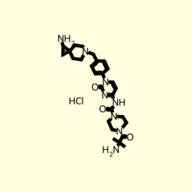 CC(C)(N)C(=O)N1CCN(C(=O)Nc2ccn(-c3ccc(CN4CCC5(CC4)CC5N)cc3)c(=O)n2)CC1.Cl